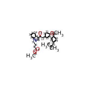 CCOC(=O)CCCn1cc(C(=O)Cc2ccc(OC(C)c3ccc(CC(C)C)cc3)cc2)c2ccccc21